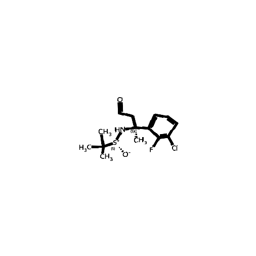 CC(C)(C)[S@@+]([O-])N[C@@](C)(CC=O)c1cccc(Cl)c1F